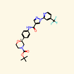 CC(C)(C)OC(=O)N1CCO[C@@H](c2ccc(NC(=O)c3cnn(-c4cc(C(F)(F)F)ccn4)c3)cc2)C1